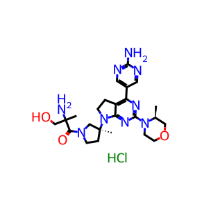 C[C@H]1COCCN1c1nc(-c2cnc(N)nc2)c2c(n1)N([C@@]1(C)CCN(C(=O)C(C)(N)CO)C1)CC2.Cl